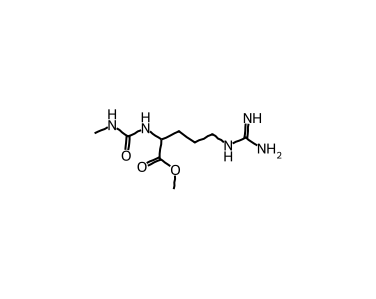 CNC(=O)NC(CCCNC(=N)N)C(=O)OC